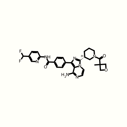 CC1(C(=O)N2CCC[C@@H](c3nc(-c4ccc(C(=O)Nc5ccc(C(F)F)cn5)cc4)c4c(N)nccn34)C2)COC1